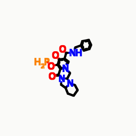 O=C(NCc1ccccc1)c1cn2c(c(OP)c1=O)C(=O)N1CC3CCCCN3C1C2